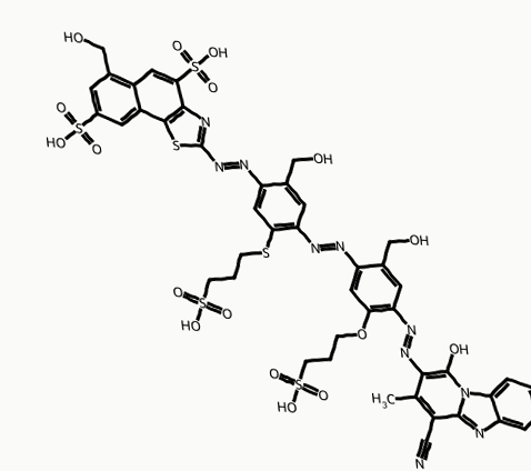 Cc1c(N=Nc2cc(CO)c(N=Nc3cc(CO)c(N=Nc4nc5c(S(=O)(=O)O)cc6c(CO)cc(S(=O)(=O)O)cc6c5s4)cc3SCCCS(=O)(=O)O)cc2OCCCS(=O)(=O)O)c(O)n2c(nc3ccccc32)c1C#N